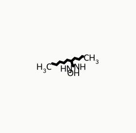 CCCCCCC(CCCC)C(=N)NO